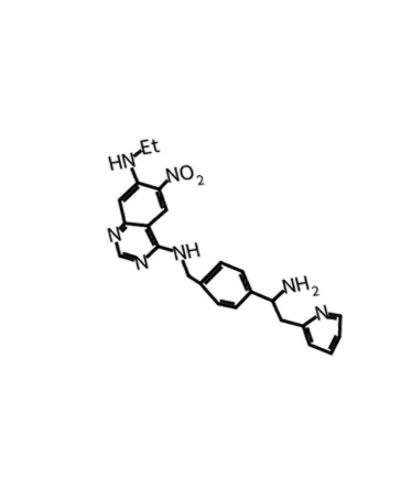 CCNc1cc2ncnc(NCc3ccc(C(N)Cc4ccccn4)cc3)c2cc1[N+](=O)[O-]